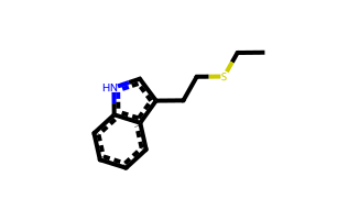 CCSCCc1c[nH]c2ccccc12